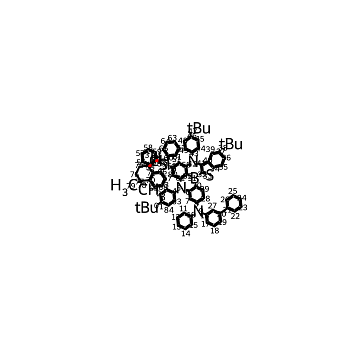 CC(C)(C)c1ccc(N2c3cc(N(c4ccccc4)c4cccc(-c5ccccc5)c4)ccc3B3c4sc5ccc(C(C)(C)C)cc5c4N(c4ccc(C(C)(C)C)cc4)c4cc([Si](c5ccccc5)(c5ccccc5)c5cccc6c5C(C)(C)CCC6(C)C)cc2c43)cc1